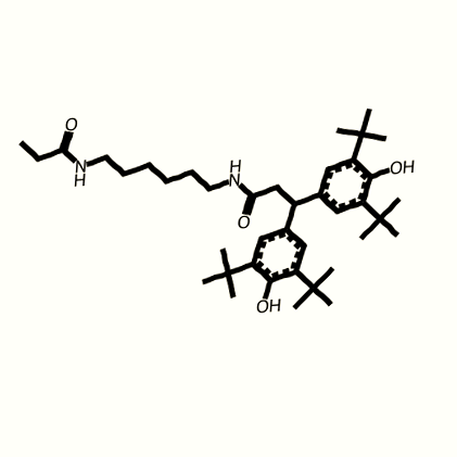 CCC(=O)NCCCCCCNC(=O)CC(c1cc(C(C)(C)C)c(O)c(C(C)(C)C)c1)c1cc(C(C)(C)C)c(O)c(C(C)(C)C)c1